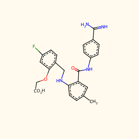 Cc1ccc(NCc2ccc(F)cc2OCC(=O)O)c(C(=O)Nc2ccc(C(=N)N)cc2)c1